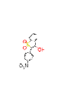 O=[N+]([O-])c1ccc(C2=C(O)c3ccccc3S2(=O)=O)cc1